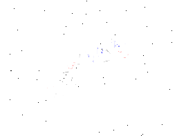 Cc1cc2c(nc1N1CCC(Oc3ccc4c(c3)COCC4)C3CC31)CNC2=O